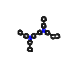 C1=CC2C=CC(c3ccc(N(c4ccc(-c5ccccc5)cc4)c4ccc(-c5ccc(N(c6ccc(-c7ccccc7)cc6)c6ccc(-c7ccccc7)cc6)cc5)cc4)cc3)=CC2C=C1